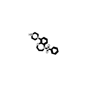 O=S(=O)(c1ccccc1)N1CCCOc2c(N3CCNCC3)cccc21